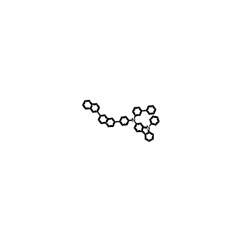 c1ccc(-c2cccc(N(c3ccc(-c4ccc5ccc(-c6ccc7ccccc7c6)cc5c4)cc3)c3ccc4c5ccccc5n(-c5ccccc5)c4c3)c2)cc1